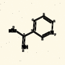 CCCCC(=N)c1cccnc1